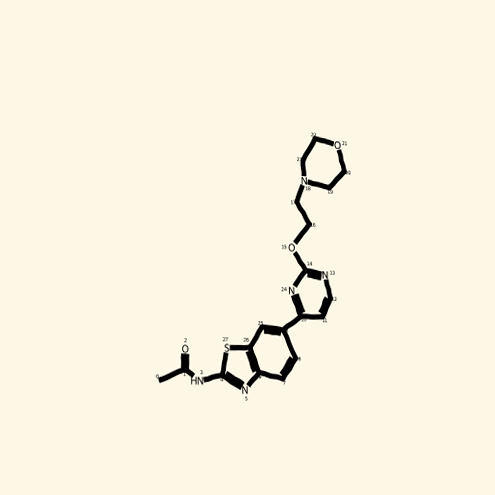 CC(=O)Nc1nc2ccc(-c3ccnc(OCCN4CCOCC4)n3)cc2s1